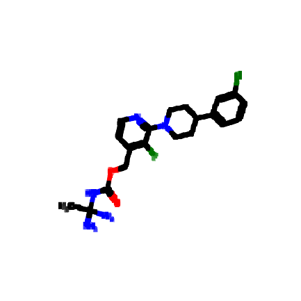 CC(N)(N)NC(=O)OCc1ccnc(N2CCC(c3cccc(Cl)c3)CC2)c1F